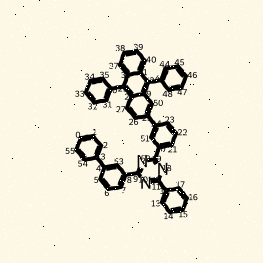 c1ccc(-c2cccc(-c3nc(-c4ccccc4)nc(-c4cccc(-c5ccc6c(-c7ccccc7)c7ccccc7c(-c7ccccc7)c6c5)c4)n3)c2)cc1